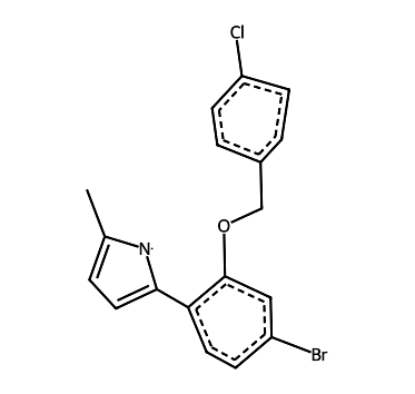 CC1=CC=C(c2ccc(Br)cc2OCc2ccc(Cl)cc2)[N]1